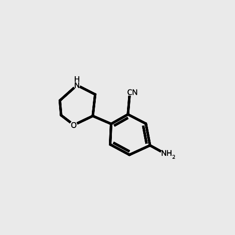 N#Cc1cc(N)ccc1C1CNCCO1